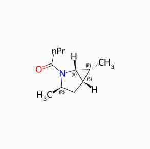 CCCC(=O)N1[C@@H]2[C@H](C)[C@@H]2C[C@H]1C